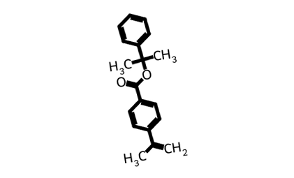 C=C(C)c1ccc(C(=O)OC(C)(C)c2ccccc2)cc1